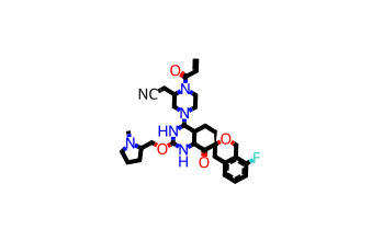 C=CC(=O)N1CCN(C2NC(OCC3CCCN3C)NC3C(=O)[C@@]4(CCC32)Cc2cccc(F)c2CO4)CC1CC#N